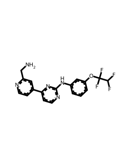 NCc1cc(-c2ccnc(Nc3cccc(OC(F)(F)C(F)F)c3)n2)ccn1